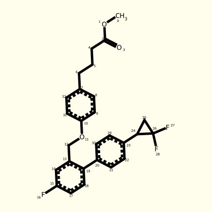 COC(=O)CCCc1ccc(OCc2cc(F)ccc2-c2ccc(C3CC3(F)F)cc2)cc1